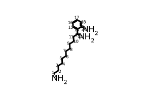 NCCCCCCCCCCCC(N)c1ccccc1N